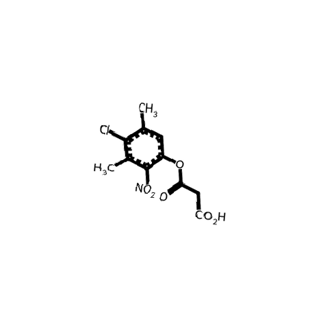 Cc1cc(OC(=O)CC(=O)O)c([N+](=O)[O-])c(C)c1Cl